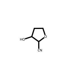 N#CC1OCCC1O